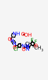 COc1cc(-c2cnc(C(=O)Nc3ccc(C(=O)N4CCN(C(=O)C5CCNCC5)CC4)c(Cl)c3)n2C)cc(F)c1F.O=CO